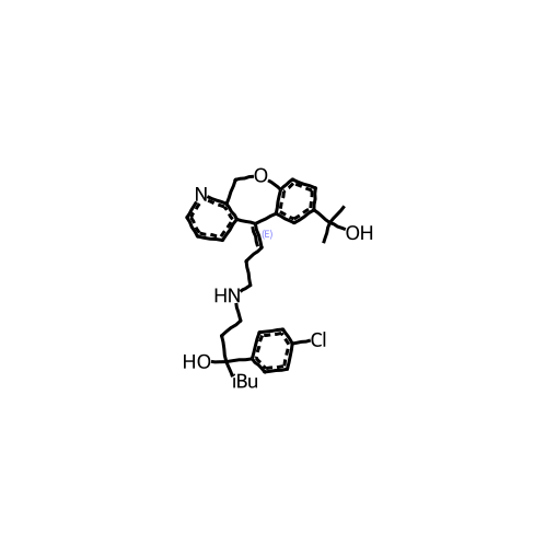 CCC(C)C(O)(CCNCC/C=C1/c2cc(C(C)(C)O)ccc2OCc2ncccc21)c1ccc(Cl)cc1